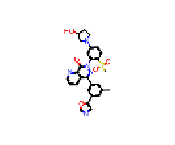 Cc1cc(-c2cnco2)cc(-c2nn(-c3cc(N4CCC(O)C4)ccc3S(C)(=O)=O)c(=O)c3ncccc23)c1